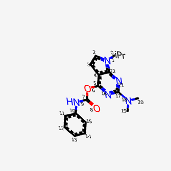 CC(C)n1ccc2c(OC(=O)Nc3ccccc3)nc(N(C)C)nc21